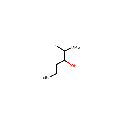 [CH2]C(OC)C(O)CCCCCC